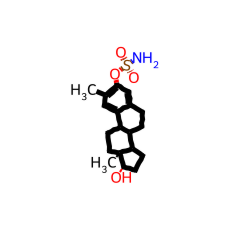 Cc1cc2c(cc1OS(N)(=O)=O)CCC1C2CC[C@@]2(C)C1CC[C@@H]2O